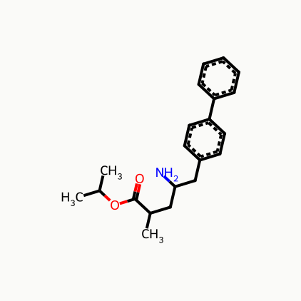 CC(C)OC(=O)C(C)CC(N)Cc1ccc(-c2ccccc2)cc1